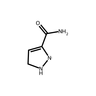 NC(=O)C1=CCN[N]1